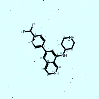 FC(F)c1ccc(-c2cc(NC3CCNCC3)c3c(c2)=CCNC=3)cn1